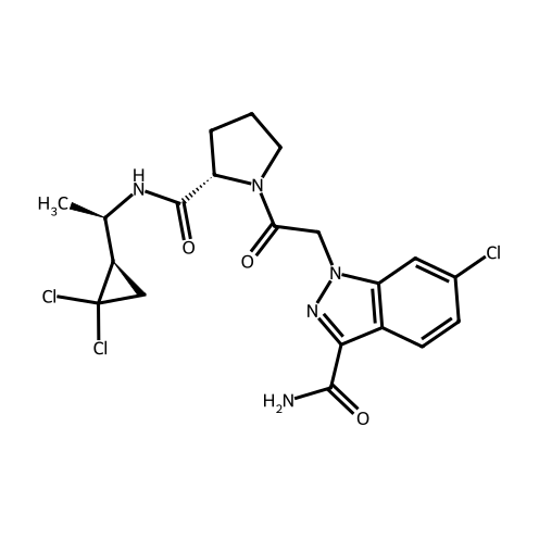 C[C@@H](NC(=O)[C@@H]1CCCN1C(=O)Cn1nc(C(N)=O)c2ccc(Cl)cc21)[C@H]1CC1(Cl)Cl